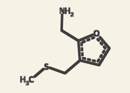 CSCc1ccoc1CN